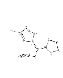 N#CC/C(C1CCCC1)=[N+]1\C=C(I)C=N1